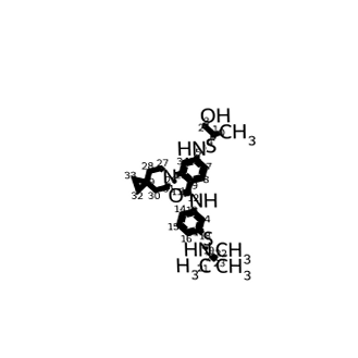 CC(CO)SNc1ccc(C(=O)Nc2cccc(SNC(C)(C)C)c2)c(N2CCC3(CC2)CC3)c1